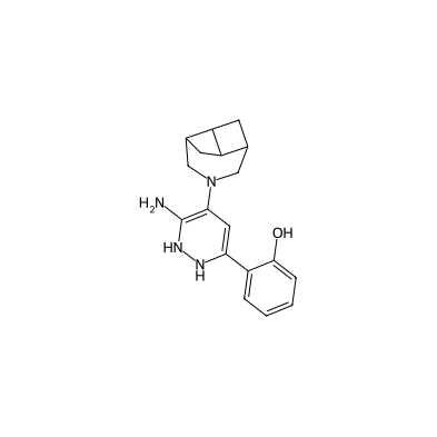 NC1=C(N2CC3CC4C(CC34)C2)C=C(c2ccccc2O)NN1